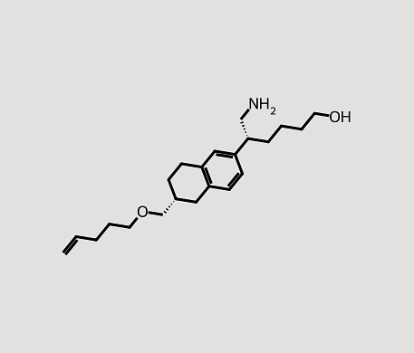 C=CCCCOC[C@@H]1CCc2cc([C@H](CN)CCCCO)ccc2C1